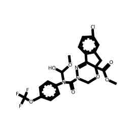 COC(=O)C12Cc3cc(Cl)ccc3C1=NN(C(=O)N(c1ccc(OC(F)(F)F)cc1)C(O)OC)CO2